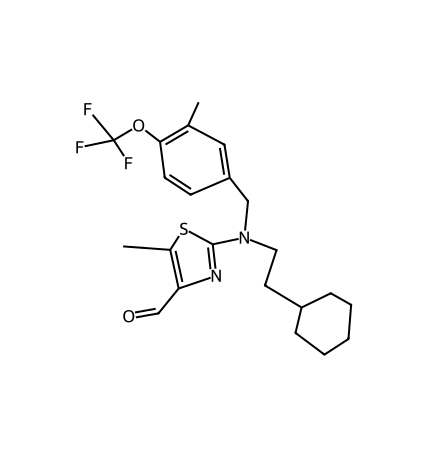 Cc1cc(CN(CCC2CCCCC2)c2nc(C=O)c(C)s2)ccc1OC(F)(F)F